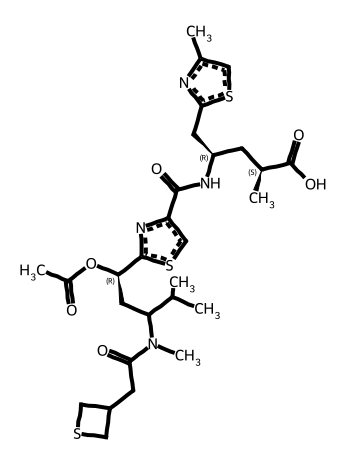 CC(=O)O[C@H](CC(C(C)C)N(C)C(=O)CC1CSC1)c1nc(C(=O)N[C@@H](Cc2nc(C)cs2)C[C@H](C)C(=O)O)cs1